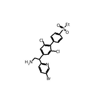 CCS(=O)(=O)c1ccc(-c2c(Cl)cc(C(CN)c3ccc(Br)cn3)cc2Cl)cc1